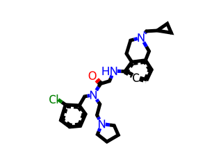 O=C(CNc1cccc2c1CCN(CC1CC1)C2)N(CCN1CCCC1)Cc1ccccc1Cl